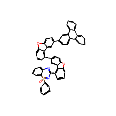 O=S1(c2ccccc2)=NC(c2cccc3oc4ccc(-c5cccc6oc7ccc(-c8ccc9c%10ccccc%10c%10ccccc%10c9c8)cc7c56)cc4c23)=Nc2ccccc21